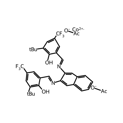 CC(=O)[O-].CC(=O)[O-].CC(C)(C)c1cc(C(F)(F)F)cc(C=Nc2cc3ccccc3cc2N=Cc2cc(C(F)(F)F)cc(C(C)(C)C)c2O)c1O.[Co+2]